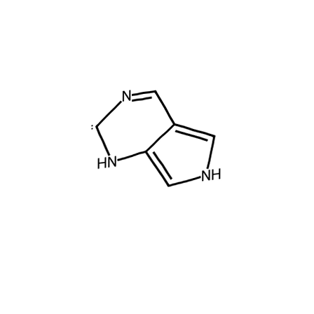 [C]1N=Cc2c[nH]cc2N1